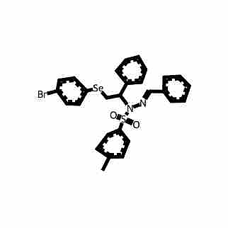 Cc1ccc(S(=O)(=O)N(N=Cc2ccccc2)C(C[Se]c2ccc(Br)cc2)c2ccccc2)cc1